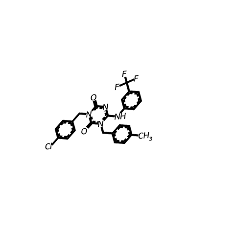 Cc1ccc(Cn2c(Nc3cccc(C(F)(F)F)c3)nc(=O)n(Cc3ccc(Cl)cc3)c2=O)cc1